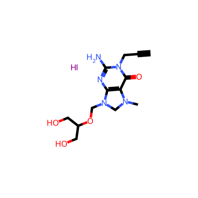 C#CCn1c(N)nc2c(c1=O)N(C)CN2COC(CO)CO.I